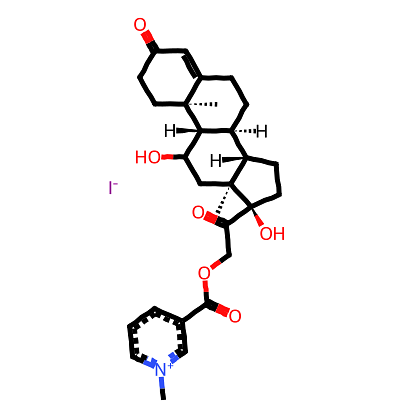 C[n+]1cccc(C(=O)OCC(=O)[C@@]2(O)CC[C@H]3[C@@H]4CCC5=CC(=O)CC[C@]5(C)[C@H]4C(O)C[C@@]32C)c1.[I-]